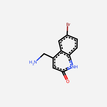 NCc1cc(=O)[nH]c2ccc(Br)cc12